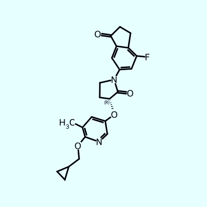 Cc1cc(O[C@@H]2CCN(c3cc(F)c4c(c3)C(=O)CC4)C2=O)cnc1OCC1CC1